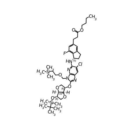 CCCCOC(=O)CCc1cc(F)c2c(c1)CC[C@@H]2Nc1nc2c(cc1Cl)nc(O[C@@H]1CO[C@H]3[C@@H]1OC[C@H]3O[Si](C)(C)C(C)(C)C)n2COCC[Si](C)(C)C